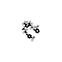 CC(NC(=O)OCc1ccc([N+](=O)[O-])cc1)SC1=C(C(=O)O)N2C(=O)C(NC(=O)OCc3ccccc3[N+](=O)[O-])C2C1